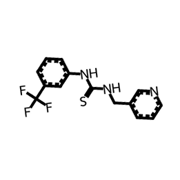 FC(F)(F)c1cccc(NC(=S)NCc2cccnc2)c1